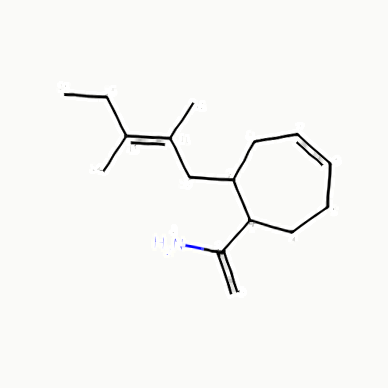 C=C(N)C1CCC=CCC1C/C(C)=C(\C)CC